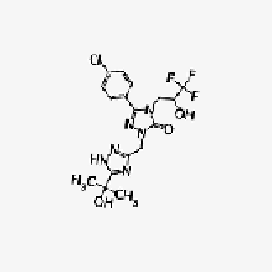 CC(C)(O)c1nc(Cn2nc(-c3ccc(Cl)cc3)n(CC(O)C(F)(F)F)c2=O)n[nH]1